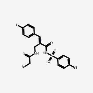 O=C(CBr)NC/C(=C\c1ccc(F)cc1)C(=O)NS(=O)(=O)c1ccc(Cl)cc1